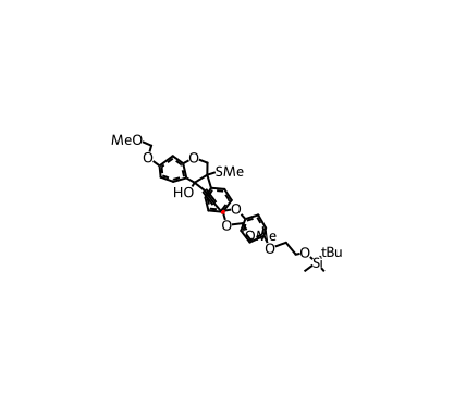 COCOc1ccc(C2(SC)COc3cc(OCOC)ccc3C2(O)C#CCOc2ccc(OCCO[Si](C)(C)C(C)(C)C)cc2)cc1